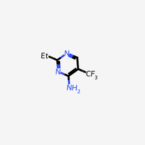 CCc1ncc(C(F)(F)F)c(N)n1